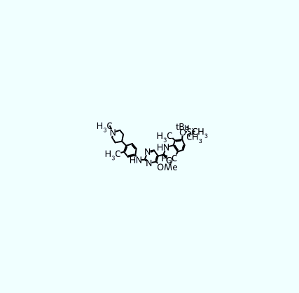 COc1nc(Nc2ccc(C3CCN(C)CC3)c(C)c2)ncc1C(=O)Nc1c(C)ccc(O[Si](C)(C)C(C)(C)C)c1C